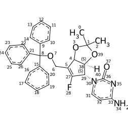 CC1(C)OC2C(COC(c3ccccc3)(c3ccccc3)c3ccccc3)=C(F)[C@@H](n3ccc(N)nc3=O)[C@@H]2O1